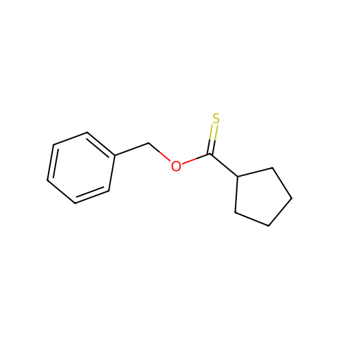 S=C(OCc1ccccc1)C1CCCC1